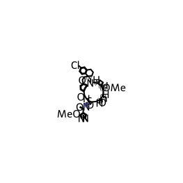 COc1nn(C)cc1C(=O)/N=C/S1(=O)=NC(=O)c2ccc3c(c2)N(C[C@@H]2CC[C@H]2[C@@H](OC)C[C@H]2CCO[C@@H]2CC1)C[C@@]1(CCCc2cc(Cl)ccc21)CO3